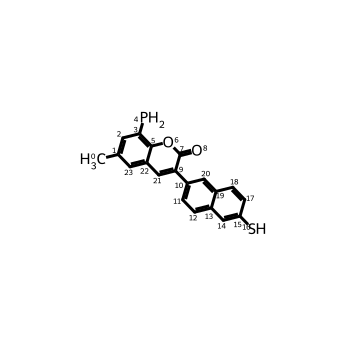 Cc1cc(P)c2oc(=O)c(-c3ccc4cc(S)ccc4c3)cc2c1